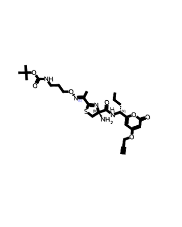 C#CCOc1cc([C@@H](CCC)NC(=O)[C@]2(N)CSC(/C(C)=N/OCCCNC(=O)OC(C)(C)C)=N2)oc(=O)c1